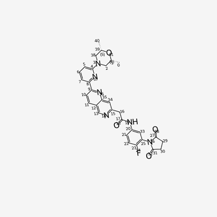 C[C@@H]1CN(c2cccc(-c3ccc4cnc(CC(=O)Nc5ccc(F)c(N6C(=O)CCC6=O)c5)cc4n3)n2)C[C@H](C)O1